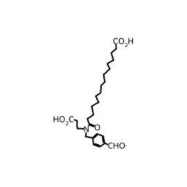 O=[C]c1ccc(CN(CCC(=O)O)C(=O)CCCCCCCCCCCCCCC(=O)O)cc1